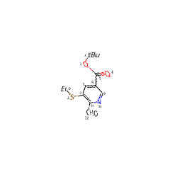 CCSc1cc(C(=O)OC(C)(C)C)cnc1C=O